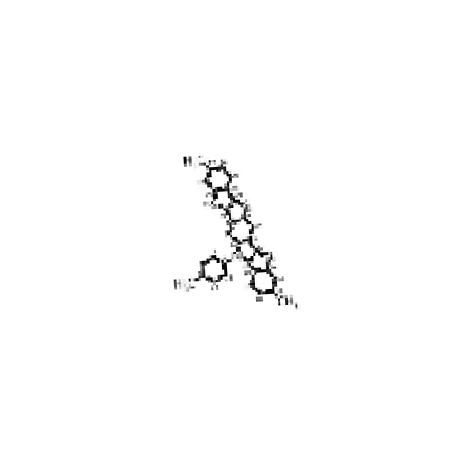 Cc1ccc(-n2c3cc4c(cc3c3oc5cc(C)ccc5c32)sc2c3ccc(C)cc3sc42)cc1